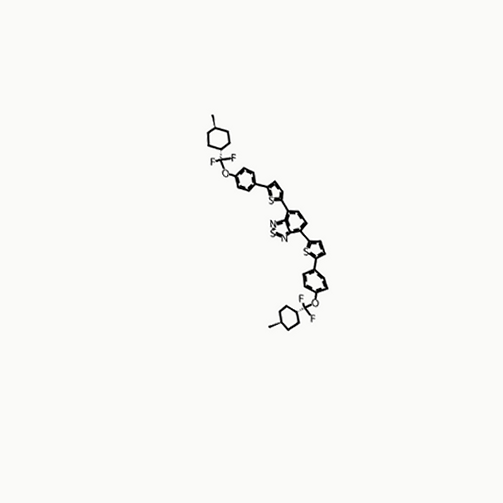 C[C@H]1CC[C@H](C(F)(F)Oc2ccc(-c3ccc(-c4ccc(-c5ccc(-c6ccc(OC(F)(F)[C@H]7CC[C@H](C)CC7)cc6)s5)c5nsnc45)s3)cc2)CC1